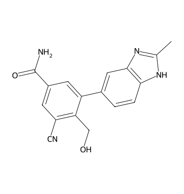 Cc1nc2cc(-c3cc(C(N)=O)cc(C#N)c3CO)ccc2[nH]1